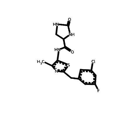 Cc1nc(Cc2cc(F)cc(Cl)c2)sc1NC(=O)C1CNC(=O)N1